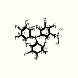 Fc1c(F)c(F)c(P(c2c(F)c(F)c(F)c(F)c2F)c2c(F)c(F)c(F)c(F)c2F)c(F)c1F.[I][Pt][I]